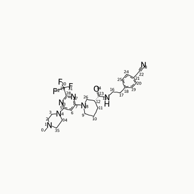 CN1CCN(c2cc(N3CCC[C@@H](C(=O)NCCc4ccc(C#N)cc4)C3)nc(C(F)(F)F)n2)CC1